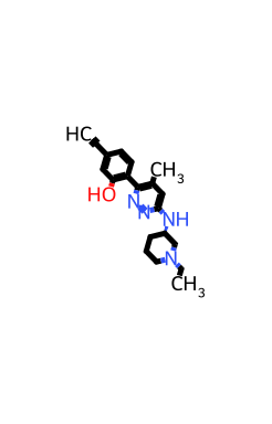 C#Cc1ccc(-c2nnc(N[C@@H]3CCCN(CC)C3)cc2C)c(O)c1